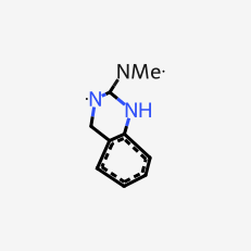 C[N]C1[N]Cc2ccccc2N1